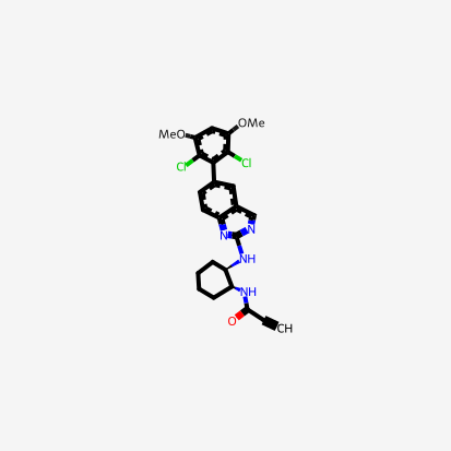 C#CC(=O)N[C@H]1CCCC[C@H]1Nc1ncc2cc(-c3c(Cl)c(OC)cc(OC)c3Cl)ccc2n1